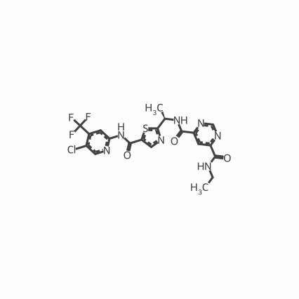 CCNC(=O)c1cc(C(=O)N[C@H](C)c2ncc(C(=O)Nc3cc(C(F)(F)F)c(Cl)cn3)s2)ncn1